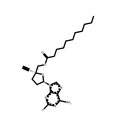 C#C[C@@]1(COC(=O)CCCCCCCCCC)CC[C@H](n2cnc3c(N)nc(F)nc32)O1